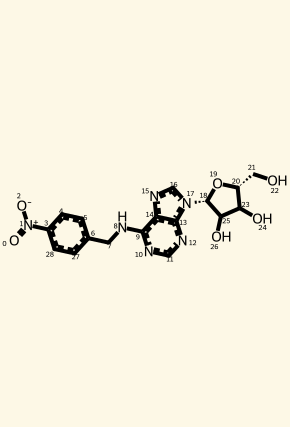 O=[N+]([O-])c1ccc(CNc2ncnc3c2ncn3[C@@H]2O[C@H](CO)C(O)C2O)cc1